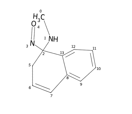 CNC1(N=O)CC=Cc2ccccc21